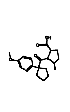 COc1ccc(C2(C(=O)N3[C@H](C)CC[C@@H]3C(=O)O)CCCC2)cc1